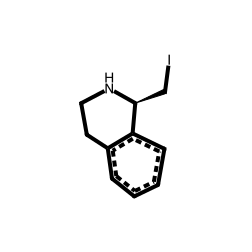 IC[C@@H]1NCCc2ccccc21